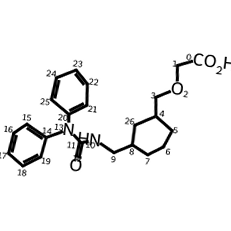 O=C(O)COCC1CCCC(CNC(=O)N(c2ccccc2)c2ccccc2)C1